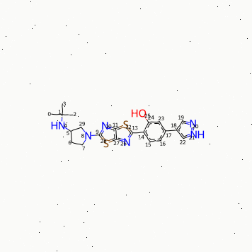 CC(C)(C)NC1CCN(c2nc3sc(-c4ccc(-c5cn[nH]c5)cc4O)nc3s2)C1